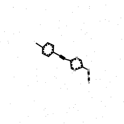 Cc1ccc(C#Cc2cnc(N=C=S)cn2)cc1